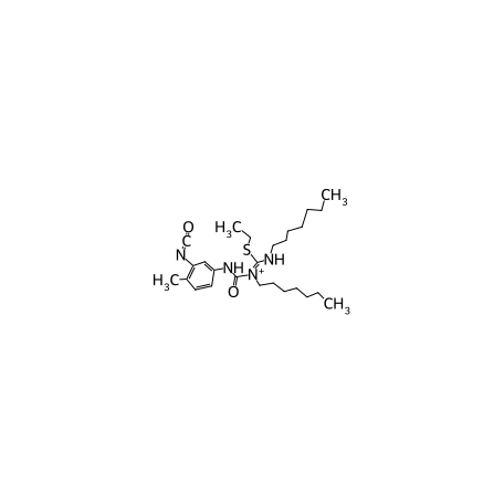 CCCCCCCNC(SCC)=[N+](CCCCCCC)C(=O)Nc1ccc(C)c(N=C=O)c1